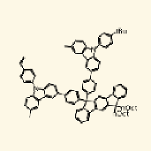 C=Cc1ccc(-n2c3ccc(C)cc3c3cc(-c4ccc(C5(c6ccc(-c7ccc8c(c7)c7cc(C)ccc7n8-c7ccc(C(C)(C)C)cc7)cc6)c6ccccc6-c6cc7c(cc65)-c5ccccc5C7(CCCCCCCC)CCCCCCCC)cc4)ccc32)cc1